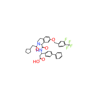 O=C(O)CC(NC(=O)C1c2cc(OCc3ccc(C(F)(F)F)c(F)c3)ccc2CCN1C(=O)CC1CCCC1)c1ccc(-c2ccccc2)cc1